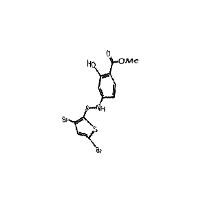 COC(=O)c1ccc(NSc2sc(Br)cc2Br)cc1O